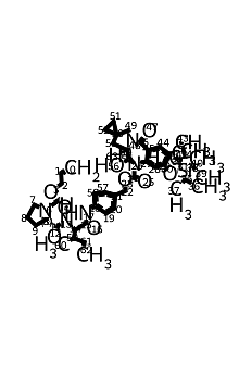 C=CCOC(=O)N1CCC[C@H]1C(=O)NC(C(=O)Nc1ccc(COC(=O)N2c3cc(O[Si](C(C)C)(C(C)C)C(C)C)c(OC)cc3C(=O)N3CC4(CC4)C[C@H]3C2O)cc1)C(C)CC